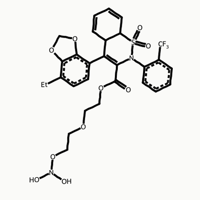 CCc1ccc(C2=C(C(=O)OCCOCCON(O)O)N(c3ccccc3C(F)(F)F)S(=O)(=O)C3C=CC=CC23)c2c1OCO2